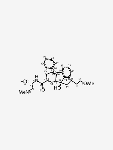 CNC[C@H](C)NC(=O)N1CCC[C@@H]([C@@](O)(CCCCOC)c2ccccc2Oc2ccccc2)C1